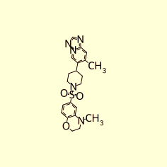 Cc1cc2ncnn2cc1C1CCN(S(=O)(=O)c2ccc3c(c2)N(C)CCO3)CC1